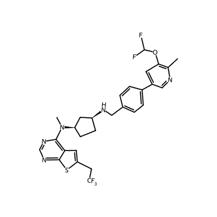 Cc1ncc(-c2ccc(CN[C@H]3CC[C@@H](N(C)c4ncnc5sc(CC(F)(F)F)cc45)C3)cc2)cc1OC(F)F